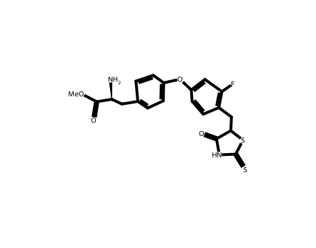 COC(=O)[C@@H](N)Cc1ccc(Oc2ccc(CC3SC(=S)NC3=O)c(F)c2)cc1